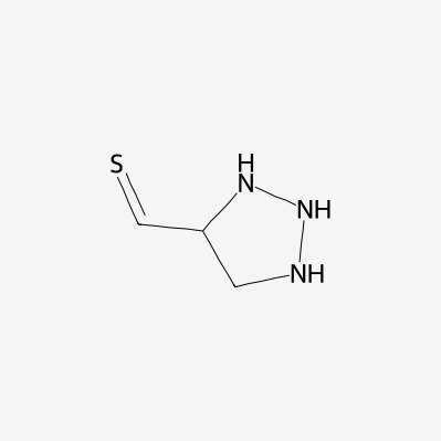 S=CC1CNNN1